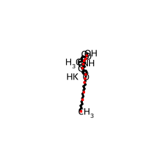 CCCCCCCCCCCCCCCCCCOc1ccc(C(=O)CC(=O)Nc2cc(S(=O)(=O)O)ccc2OC)cc1.[KH]